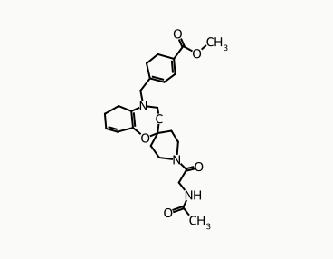 COC(=O)C1=CC=C(CN2CCC3(CCN(C(=O)CNC(C)=O)CC3)OC3=C2CCC=C3)CC1